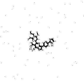 CCCN(C(=O)CF)[C@H](CC)CCc1nc2c(-c3ccc(-c4ncc[nH]4)nc3)cnn2c(N)c1C(C)=O